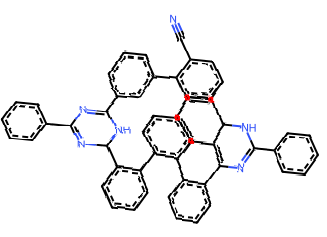 N#Cc1ccccc1-c1cccc(C2=NC(c3ccccc3)=NC(c3ccccc3-c3ccccc3-c3ccccc3C3=C4C=CC=CC4NC(c4ccccc4)=N3)N2)c1